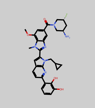 COc1cc(C(=O)N2C[C@H](N)C[C@@H](F)C2)cc2nc(-c3cc4ccc(-c5cccc(O)c5O)nc4n3CC3CC3)n(C)c12